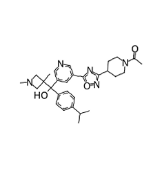 CC(=O)N1CCC(c2noc(-c3cncc(C(O)(c4ccc(C(C)C)cc4)C4(C)CN(C)C4)c3)n2)CC1